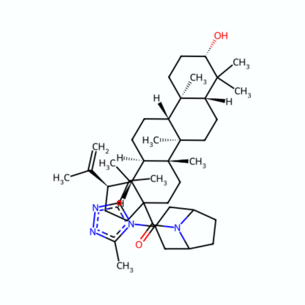 C=C(C)[C@@H]1CCC2(C(=O)N3C4CCC3CC(n3c(C)nnc3C(C)C)C4)CC[C@]3(C)[C@H](CC[C@@H]4[C@@]5(C)CC[C@H](O)C(C)(C)[C@@H]5CC[C@]43C)[C@@H]12